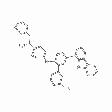 Cc1cccc(-c2cc(-c3cccc4c3sc3ccccc34)ccc2Nc2ccc([C@H](N)Cc3ccccc3)cc2)c1